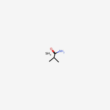 CC(C)C(N)=O.[SiH4]